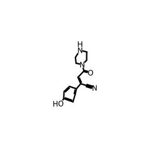 N#CC(=CC(=O)N1CCNCC1)c1ccc(O)cc1